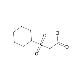 O=C(Cl)CS(=O)(=O)C1CCCCC1